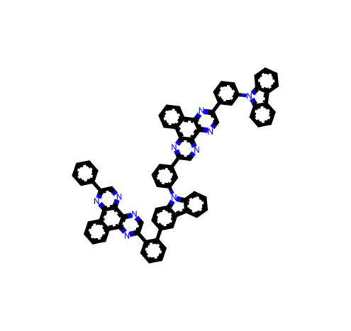 c1ccc(-c2cnc3c(n2)c2ccccc2c2nc(-c4ccccc4-c4ccc5c(c4)c4ccccc4n5-c4cccc(-c5cnc6c(n5)c5ccccc5c5nc(-c7cccc(-n8c9ccccc9c9ccccc98)c7)cnc56)c4)cnc23)cc1